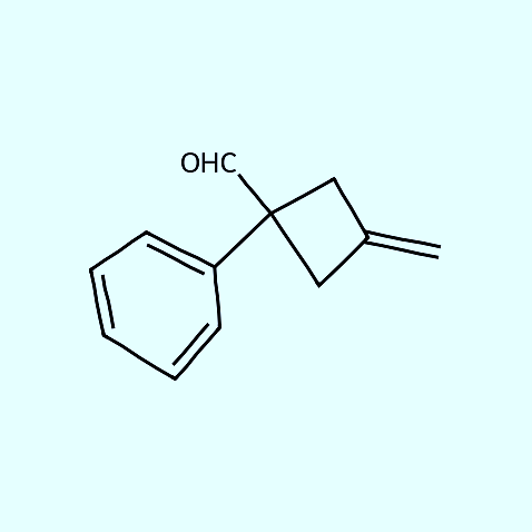 C=C1CC(C=O)(c2ccccc2)C1